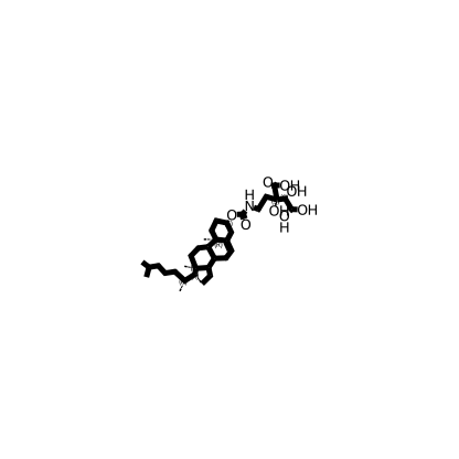 CC(C)CCC[C@@H](C)[C@H]1CCC2C3CC=C4C[C@@H](OC(=O)NCC[C@@](O)(C(=O)O)[C@H](O)C(O)O)CC[C@]4(C)C3CC[C@@]21C